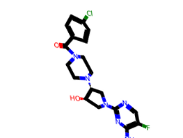 Nc1nc(N2C[C@@H](O)[C@H](N3CCN(C(=O)c4ccc(Cl)cc4)CC3)C2)ncc1F